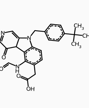 CC(C)(C)c1ccc(CN2C3=CN=CC(=O)C3c3c2ccc(CC(=O)O)c3NC=O)cc1